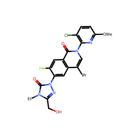 CCn1c(CO)nn(-c2cc3c(C(C)C)cn(-c4nc(OC)ccc4Cl)c(=O)c3cc2F)c1=O